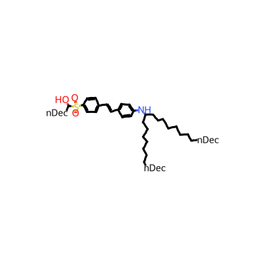 CCCCCCCCCCCCCCCCCCC(CCCCCCCCCCCCCCCCC)Nc1ccc(C=Cc2ccc(S(=O)(=O)C(O)CCCCCCCCCC)cc2)cc1